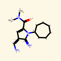 CN(C)C(=O)C1=C/C(=C/N)C(=N)N1C1CCCCCC1